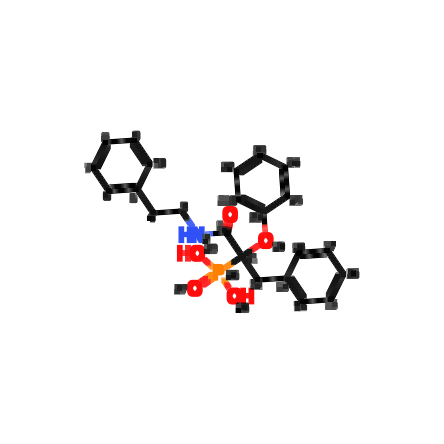 O=C(NCCc1ccccc1)C(Cc1ccccc1)(Oc1ccccc1)P(=O)(O)O